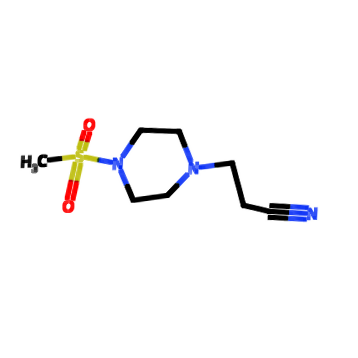 CS(=O)(=O)N1CCN(CCC#N)CC1